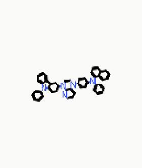 c1ccc(N(c2ccc(N3CCN(c4ccc5c(c4)c4ccccc4n5-c4ccccc4)c4ncccc43)cc2)c2cccc3ccccc23)cc1